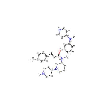 CN1CCC(N2CCC[C@H](N(Cc3ccc(N(C)c4ccncc4)cc3)C(=O)/C=C/c3ccc(C(F)(F)F)cc3)C2)CC1